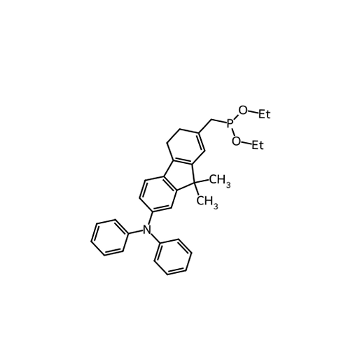 CCOP(CC1=CC2=C(CC1)c1ccc(N(c3ccccc3)c3ccccc3)cc1C2(C)C)OCC